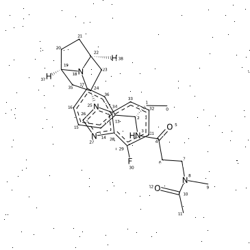 CC[C@H](NC(=O)CCN(C)C(C)=O)c1cccc(N2[C@@H]3CC[C@H]2C[C@H](n2cnc4c(F)cccc42)C3)c1